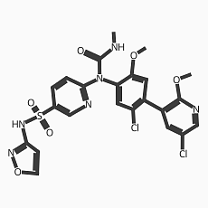 CNC(=O)N(c1ccc(S(=O)(=O)Nc2ccon2)cn1)c1cc(Cl)c(-c2cc(Cl)cnc2OC)cc1OC